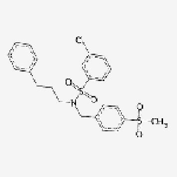 CS(=O)(=O)c1ccc(CN(CCCc2ccccc2)S(=O)(=O)c2cccc(Cl)c2)cc1